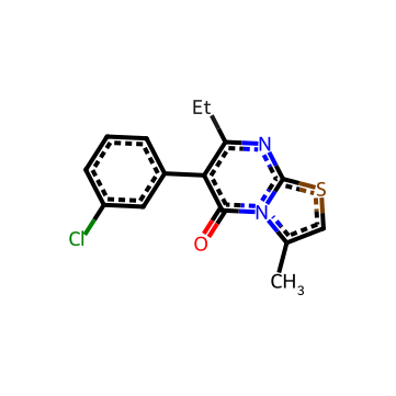 CCc1nc2scc(C)n2c(=O)c1-c1cccc(Cl)c1